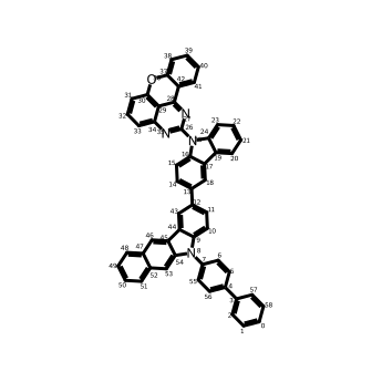 c1ccc(-c2ccc(-n3c4ccc(-c5ccc6c(c5)c5ccccc5n6-c5nc6c7c(cccc7n5)Oc5ccccc5-6)cc4c4cc5ccccc5cc43)cc2)cc1